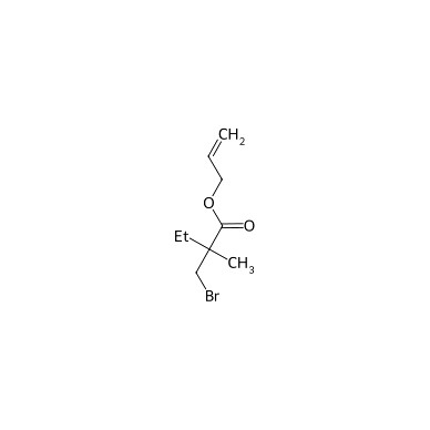 C=CCOC(=O)C(C)(CC)CBr